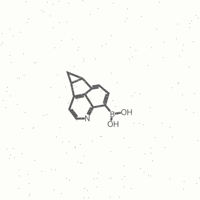 OB(O)c1ccc2c3c(ccnc13)C1CC21